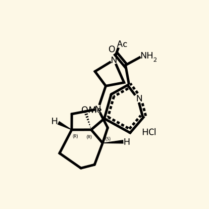 CO[C@@]1(c2ccnc(C(N)=O)c2)[C@@H]2CCC[C@H]1CN(C1CN(C(C)=O)C1)C2.Cl